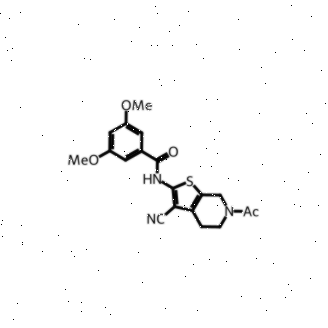 COc1cc(OC)cc(C(=O)Nc2sc3c(c2C#N)CCN(C(C)=O)C3)c1